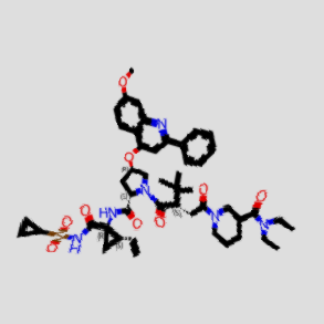 C=C[C@@H]1C[C@]1(NC(=O)[C@@H]1C[C@@H](Oc2cc(-c3ccccc3)nc3cc(OC)ccc23)CN1C(=O)[C@@H](CC(=O)N1CCCC(C(=O)N(CC)CC)C1)C(C)(C)C)C(=O)NS(=O)(=O)C1CC1